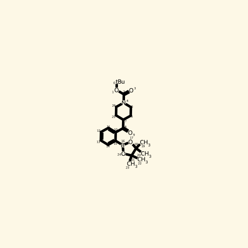 CC(C)(C)OC(=O)N1CCC(C(=O)c2ccccc2B2OC(C)(C)C(C)(C)O2)CC1